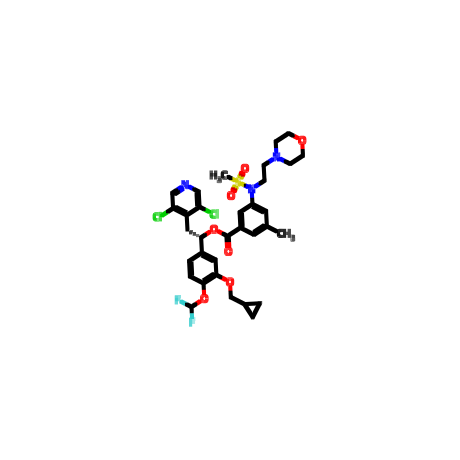 Cc1cc(C(=O)O[C@@H](Cc2c(Cl)cncc2Cl)c2ccc(OC(F)F)c(OCC3CC3)c2)cc(N(CCN2CCOCC2)S(C)(=O)=O)c1